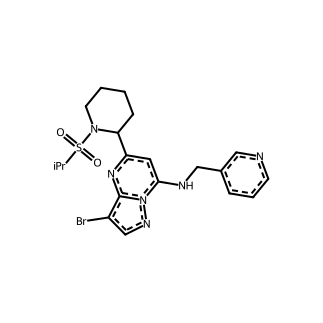 CC(C)S(=O)(=O)N1CCCCC1c1cc(NCc2cccnc2)n2ncc(Br)c2n1